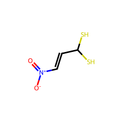 O=[N+]([O-])C=CC(S)S